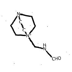 O=CNC[N+]12CCN(CC1)CC2